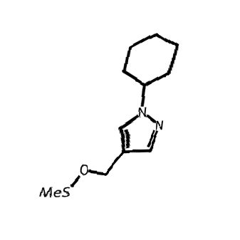 CSOCc1cnn(C2CCCCC2)c1